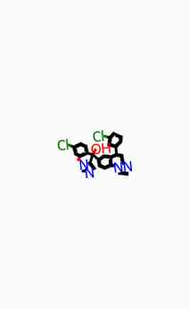 Cn1cncc1C(O)(c1ccc(Cl)cc1)c1ccc2c(c1)c(-c1cccc(Cl)c1)cc1nccn12